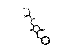 CCCCOC(=O)NCC1N/C(=C/c2ccccc2)C(=O)O1